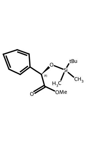 COC(=O)[C@H](O[Si](C)(C)C(C)(C)C)c1ccccc1